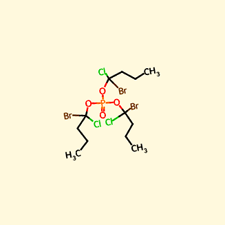 CCCC(Cl)(Br)OP(=O)(OC(Cl)(Br)CCC)OC(Cl)(Br)CCC